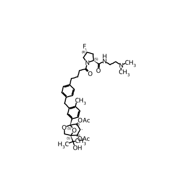 CC(=O)O[C@H]1[CH][C@@H](OC(C)=O)[C@@]2(c3ccc(C)c(Cc4ccc(CCCC(=O)N5C[C@H](F)C[C@H]5C(=O)NCCN(C)C)cc4)c3)OC[C@]1(C(C)(C)O)O2